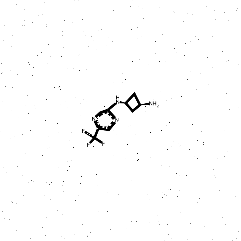 N[C@H]1C[C@@H](Nc2cnc(C(F)(F)F)cn2)C1